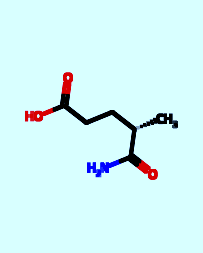 C[C@@H](CCC(=O)O)C(N)=O